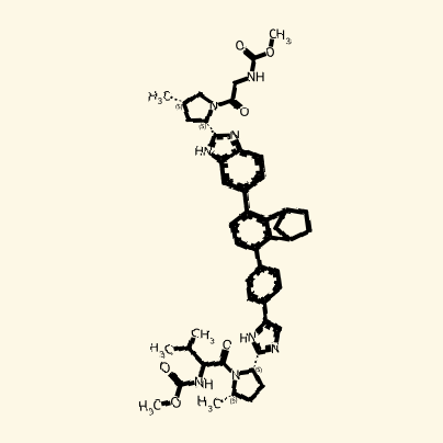 COC(=O)NCC(=O)N1C[C@@H](C)C[C@H]1c1nc2ccc(-c3ccc(-c4ccc(-c5cnc([C@@H]6CC[C@H](C)N6C(=O)C(NC(=O)OC)C(C)C)[nH]5)cc4)c4c3C3CCC4C3)cc2[nH]1